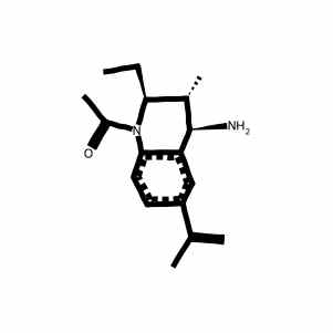 C=C(C)c1ccc2c(c1)[C@H](N)[C@@H](C)[C@H](CC)N2C(C)=O